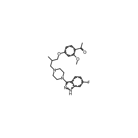 COc1cc(OCC(C)CN2CCN(c3n[nH]c4cc(F)ccc34)CC2)ccc1C(C)=O